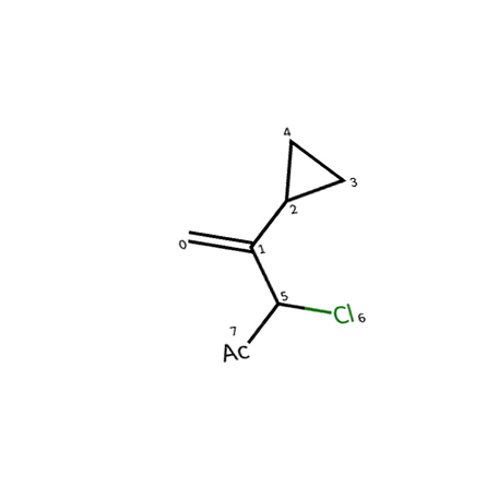 C=C(C1CC1)C(Cl)C(C)=O